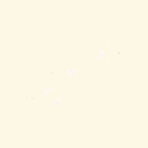 CCCS(=O)(=O)Nc1ccc(F)c(Nc2ccc3ncc(NC)nc3c2C#N)c1F